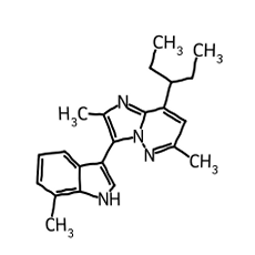 CCC(CC)c1cc(C)nn2c(-c3c[nH]c4c(C)cccc34)c(C)nc12